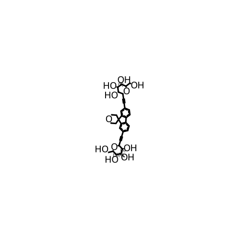 OCC1OC(C#Cc2ccc3c(c2)C2(CCOCC2)c2cc(C#CC4OC(CO)[C@@H](O)[C@H](O)[C@@H]4O)ccc2-3)C(O)C(O)[C@@H]1O